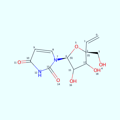 C=C[C@@]1(CO)O[C@H](n2ccc(=O)[nH]c2=O)C(O)C1O